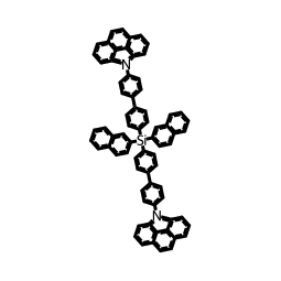 c1ccc2cc([Si](c3ccc(-c4ccc(-n5c6cccc7ccc8cccc5c8c76)cc4)cc3)(c3ccc(-c4ccc(-n5c6cccc7ccc8cccc5c8c76)cc4)cc3)c3ccc4ccccc4c3)ccc2c1